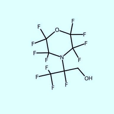 OCC(F)(N1C(F)(F)C(F)(F)OC(F)(F)C1(F)F)C(F)(F)F